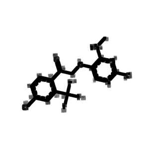 CNc1nc(Cl)ncc1OCC(=O)c1ccc(Cl)cc1C(F)(F)F